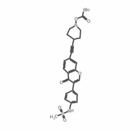 CC(C)(C)C(=O)ON1CCC(C#Cc2ccc3c(=O)c(-c4ccc(NS(C)(=O)=O)cc4)coc3c2)CC1